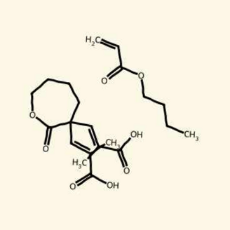 C=CC(=O)OCCCC.CC(=CC1(C=C(C)C(=O)O)CCCCOC1=O)C(=O)O